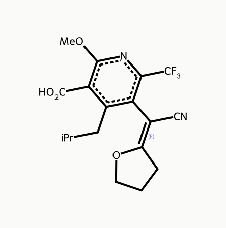 COc1nc(C(F)(F)F)c(/C(C#N)=C2/CCCO2)c(CC(C)C)c1C(=O)O